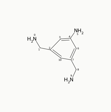 NCc1cc(N)cc(CN)c1